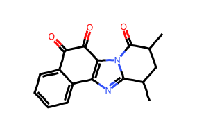 CC1CC(C)c2nc3c(n2C1=O)C(=O)C(=O)c1ccccc1-3